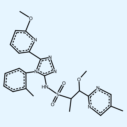 COc1cccc(-c2nnc(NS(=O)(=O)C(C)C(OC)c3ncc(C)cn3)n2-c2ccccc2C)n1